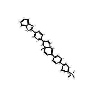 CC12C=CC(c3ccc(-c4ccc([Si](C)(C)C)cc4)cc3)=CC1C=CC(c1ccc(-c3nc4ccccc4o3)cn1)=C2